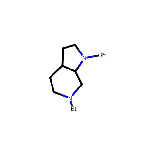 CCN1CCC2CCN(C(C)C)C2C1